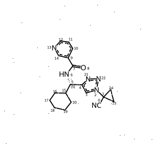 N#CC1(n2cc([C@@H](NC(=O)c3cccnc3)C3CCCCC3)nn2)CC1